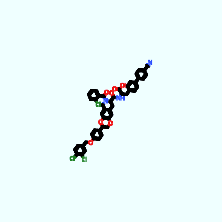 N#Cc1ccc(-c2ccc(CC(NC(=O)C3Cc4cc5c(cc4CN3C(=O)c3ccccc3Cl)OC(c3ccc(OCc4ccc(Cl)c(Cl)c4)cc3)CO5)C(=O)O)cc2)cc1